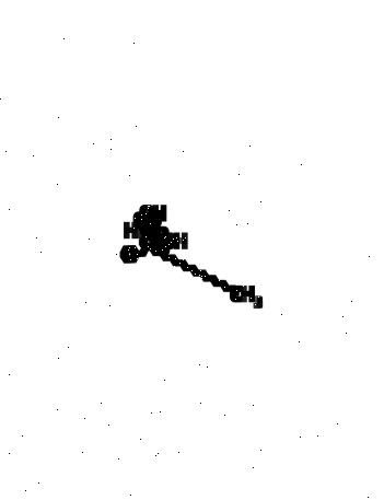 CCCCCCCCCCCCCCCCCc1c(Cc2ccccc2)cc2[nH]c(S(=O)(=O)O)nc2c1S(=O)(=O)O